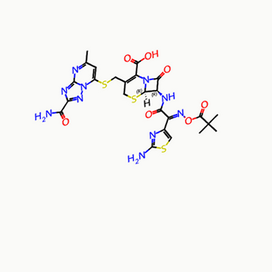 Cc1cc(SCC2=C(C(=O)O)N3C(=O)[C@@H](NC(=O)C(=NOC(=O)C(C)(C)C)c4csc(N)n4)[C@H]3SC2)n2nc(C(N)=O)nc2n1